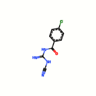 N#CNC(=N)NC(=O)c1ccc(Cl)cc1